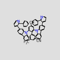 N#Cc1cc(-c2c(-n3c4ccccc4c4ccc(-c5cccnc5-c5ccccc5)cc43)cc(C#N)cc2-n2c3ccccc3c3ccc(-c4cccnc4-c4ccccc4)cc32)cc(C(F)(F)F)c1